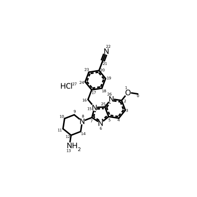 COc1ccc2nc(N3CCCC(N)C3)n(Cc3ccc(C#N)cc3)c2n1.Cl